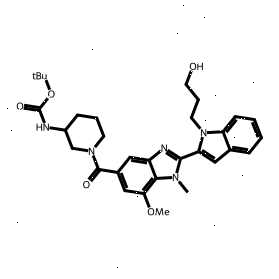 COc1cc(C(=O)N2CCCC(NC(=O)OC(C)(C)C)C2)cc2nc(-c3cc4ccccc4n3CCCO)n(C)c12